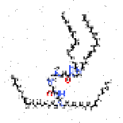 CCCCCCCC/C=C\CCCCCCCCN(CCCCCCCC/C=C\CCCCCCCC)CCNC(=O)CCN(C)CCN(C)CCC(=O)NCCN(CCCCCCCC/C=C\CCCCCCCC)CCCCCCCC/C=C\CCCCCCCC